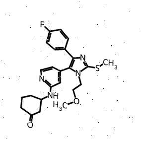 COCCn1c(SC)nc(-c2ccc(F)cc2)c1-c1ccnc(NC2CCCC(=O)C2)c1